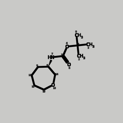 CC(C)(C)OC(=O)N[C@H]1CCCCOC1